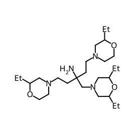 CCC1CN(CCC(N)(CCN2CCOC(CC)C2)CN2CC(CC)OC(CC)C2)CCO1